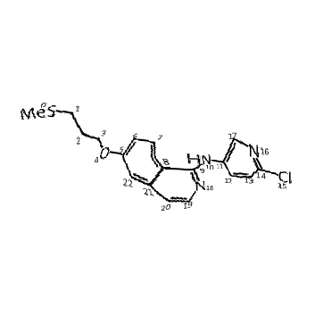 CSCCCOc1ccc2c(Nc3ccc(Cl)nc3)nccc2c1